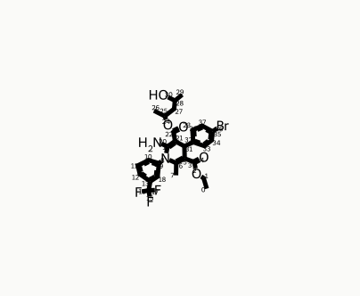 CCOC(=O)C1=C(C)N(c2cccc(C(F)(F)F)c2)C(N)=C(C(=O)OC(C)CC(C)O)C1c1ccc(Br)cc1